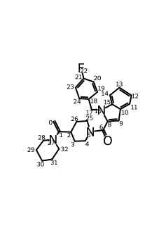 C=C(C1CCN(C(=O)c2cc3ccccc3n2Cc2ccc(F)cc2)CC1)N1CCCCC1